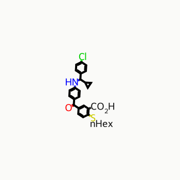 CCCCCCSc1ccc(C(=O)c2ccc(NC(c3ccc(Cl)cc3)C3CC3)cc2)cc1C(=O)O